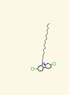 CCCCCCCCCCCCCCCCn1c2cc(Cl)ccc2c2ccc(Cl)cc21